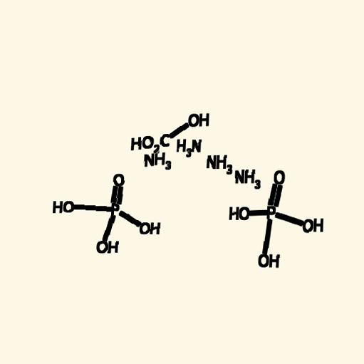 N.N.N.N.O=C(O)O.O=P(O)(O)O.O=P(O)(O)O